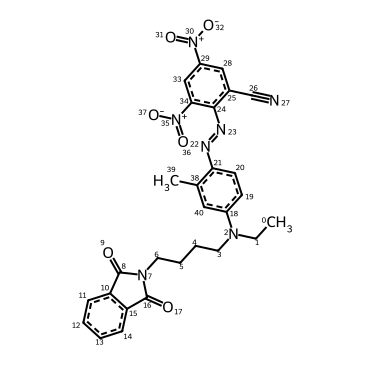 CCN(CCCCN1C(=O)c2ccccc2C1=O)c1ccc(/N=N/c2c(C#N)cc([N+](=O)[O-])cc2[N+](=O)[O-])c(C)c1